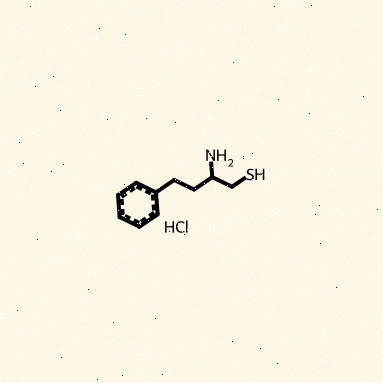 Cl.NC(CS)CCc1ccccc1